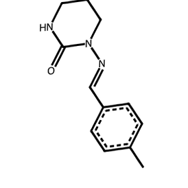 Cc1ccc(/C=N/N2CCCNC2=O)cc1